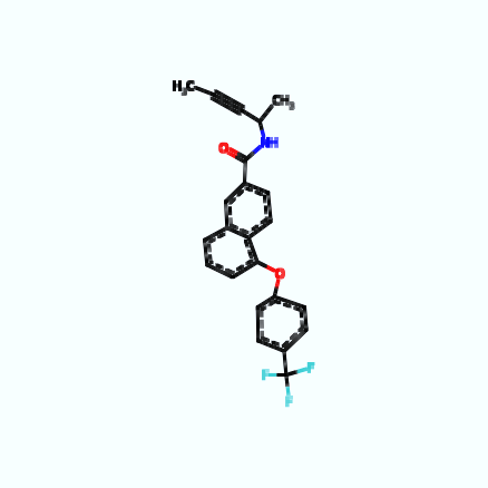 CC#CC(C)NC(=O)c1ccc2c(Oc3ccc(C(F)(F)F)cc3)cccc2c1